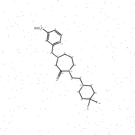 CCOC(=O)c1ccnc(CN2CCCN(CCN3CCC(F)(F)CC3)C(=O)C2)c1